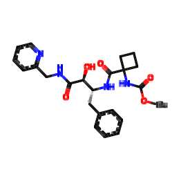 CC(C)(C)OC(=O)NC1(C(=O)N[C@H](Cc2ccccc2)[C@H](O)C(=O)NCc2ccccn2)CCC1